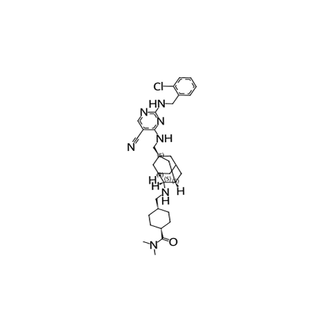 CN(C)C(=O)[C@H]1CC[C@@H](CN[C@@H]2[C@@H]3CC4C[C@H]2C[C@@](CNc2nc(NCc5ccccc5Cl)ncc2C#N)(C4)C3)CC1